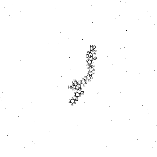 O=C1CCC(N2C(=O)c3ccc(N4CCC(CN5CCC(N6CCC(Nc7ncnc8[nH]cc(C(=O)c9ccc(Oc%10ccccc%10)cc9Cl)c78)CC6)CC5)CC4)cc3C2=O)C(=O)N1